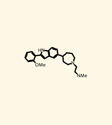 CNCCN1CCCC(c2ccc3[nH]c(-c4ccccc4OC)cc3c2)CC1